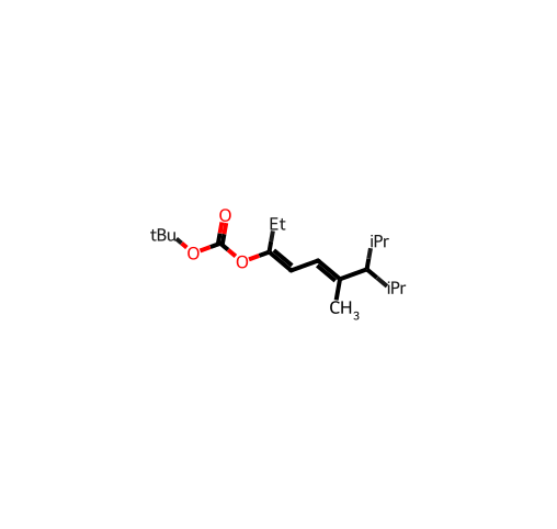 CC/C(=C\C=C(/C)C(C(C)C)C(C)C)OC(=O)OC(C)(C)C